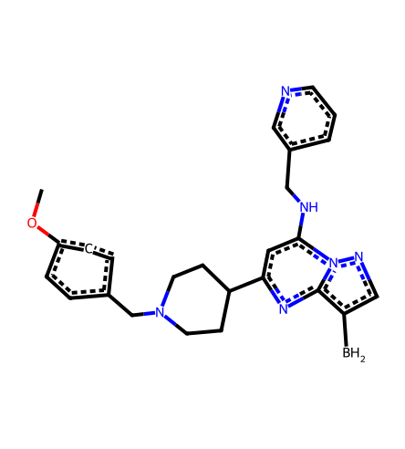 Bc1cnn2c(NCc3cccnc3)cc(C3CCN(Cc4ccc(OC)cc4)CC3)nc12